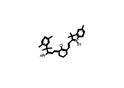 CCC/C(=C/C=C1\CCCC(/C=C/C2=[N+](CC)c3ccc(C)cc3C2(C)C)=C1Cl)C(C)(C)c1cc(C)ccc1C